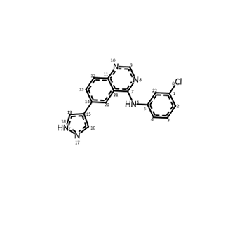 Clc1cccc(Nc2ncnc3ccc(-c4cn[nH]c4)cc23)c1